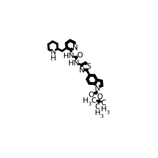 CC(C)(C)OC(=O)n1ccc2cc(-c3nc(NC(=O)Nc4ncccc4CC4CCCCN4)cs3)ccc21